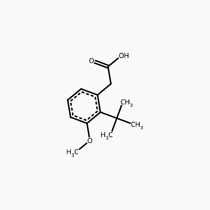 COc1cccc(CC(=O)O)c1C(C)(C)C